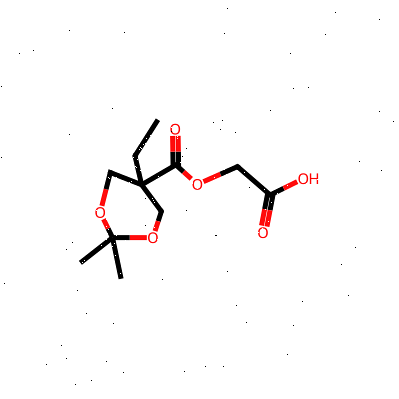 CCC1(C(=O)OCC(=O)O)COC(C)(C)OC1